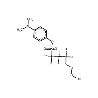 CN(C)c1ccc(OS(=O)(=O)C(F)(F)C(F)(F)C(F)(F)SOOO)cc1